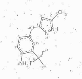 Cc1cc(Oc2ccc(N)c(C(F)(F)F)c2)n[nH]1